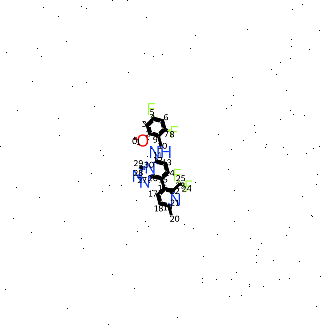 COc1cc(F)cc(F)c1CNc1ccc(-c2ccc(C)nc2C(F)F)c2nncn12